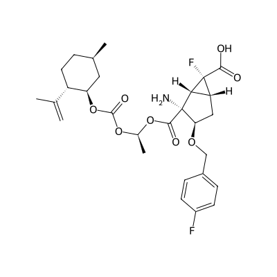 C=C(C)[C@@H]1CC[C@@H](C)C[C@H]1OC(=O)O[C@H](C)OC(=O)[C@@]1(N)[C@H]2[C@@H](C[C@H]1OCc1ccc(F)cc1)[C@]2(F)C(=O)O